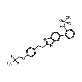 O=S(=O)(Nc1ccccc1-c1ccc2[nH]c(CCc3ccc(OCC(F)(F)C(F)(F)F)cc3)nc2c1)C(F)(F)F